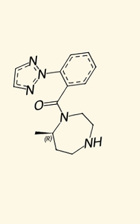 C[C@@H]1CCNCCN1C(=O)c1ccccc1-n1nccn1